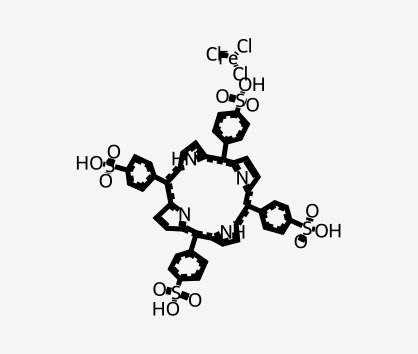 O=S(=O)(O)c1ccc(-c2c3nc(c(-c4ccc(S(=O)(=O)O)cc4)c4ccc([nH]4)c(-c4ccc(S(=O)(=O)O)cc4)c4nc(c(-c5ccc(S(=O)(=O)O)cc5)c5ccc2[nH]5)C=C4)C=C3)cc1.[Cl][Fe]([Cl])[Cl]